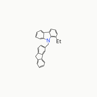 CCc1cccc2c3ccccc3n(Cc3ccc4c(c3)-c3ccccc3C4)c12